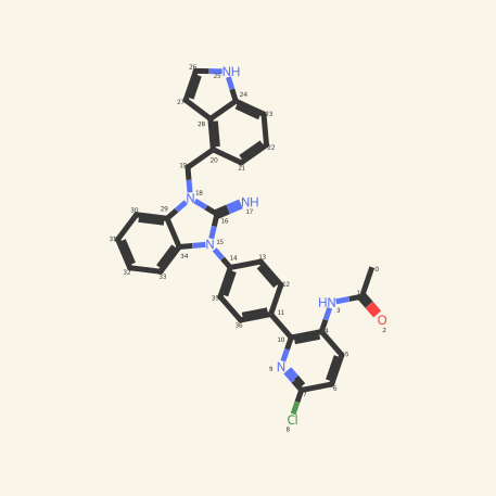 CC(=O)Nc1ccc(Cl)nc1-c1ccc(-n2c(=N)n(Cc3cccc4[nH]ccc34)c3ccccc32)cc1